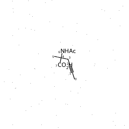 CC#CCC(C)(NC(C)=O)C(=O)O